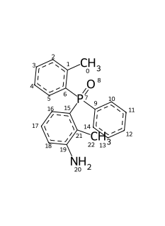 Cc1ccccc1P(=O)(c1ccccc1)c1cccc(N)c1C